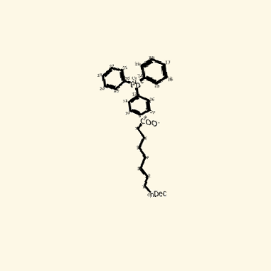 CCCCCCCCCCCCCCCCCC(=O)[O-].c1cc[c]([Pb+]([c]2ccccc2)[c]2ccccc2)cc1